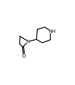 O=C1CCN1C1CCNCC1